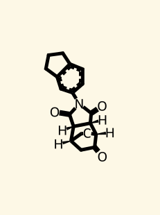 O=C1C[C@H]2CC[C@@H]1[C@H]1C(=O)N(c3ccc4c(c3)CCC4)C(=O)[C@@H]21